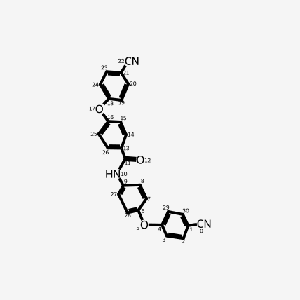 N#Cc1ccc(Oc2ccc(NC(=O)c3ccc(Oc4ccc(C#N)cc4)cc3)cc2)cc1